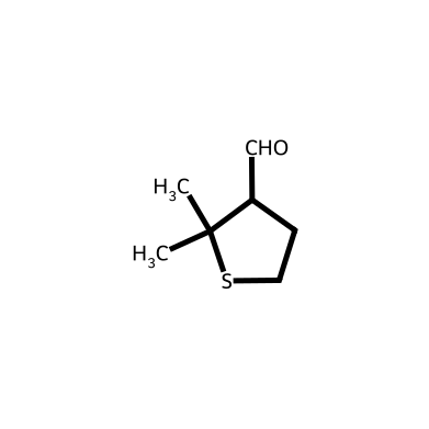 CC1(C)SCCC1C=O